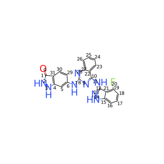 O=c1[nH][nH]c2cc(Nc3nc(Nc4n[nH]c5cccc(F)c45)c4ccccc4n3)ccc12